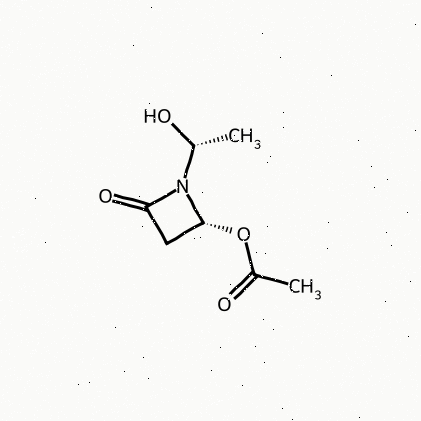 CC(=O)O[C@@H]1CC(=O)N1[C@@H](C)O